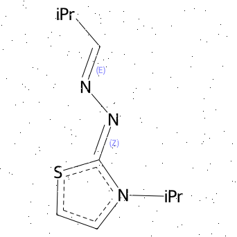 CC(C)/C=N/N=c1\sccn1C(C)C